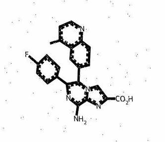 Cc1ccnc2ccc(-c3c(-c4ccc(F)cc4)nc(N)c4nc(C(=O)O)cn34)cc12